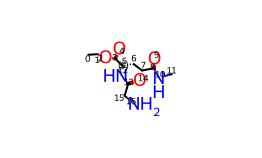 CCOC(=O)[C@H](CCC(=O)NC)NC(=O)CN